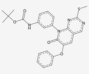 CSc1ncc2cc(Oc3ccccc3)c(=O)n(-c3cccc(NC(=O)OC(C)(C)C)c3)c2n1